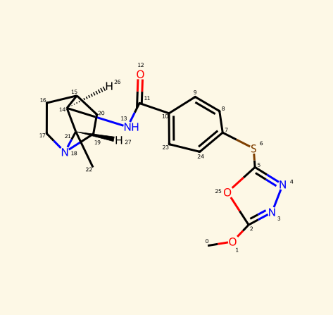 COc1nnc(Sc2ccc(C(=O)N[C@@H]3C4CCN(CC4)[C@H]3C)cc2)o1